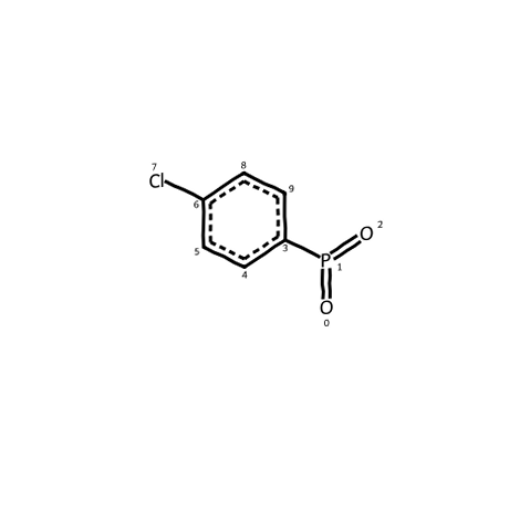 O=P(=O)c1ccc(Cl)cc1